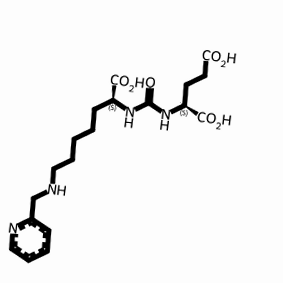 O=C(O)CC[C@H](NC(=O)N[C@@H](CCCCCNCc1ccccn1)C(=O)O)C(=O)O